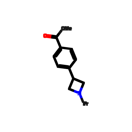 COC(=O)c1ccc(C2CN(C(C)C)C2)cc1